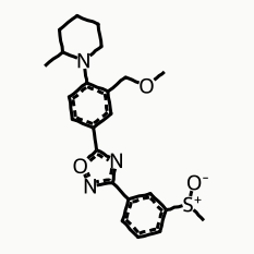 COCc1cc(-c2nc(-c3cccc([S+](C)[O-])c3)no2)ccc1N1CCCCC1C